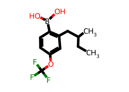 CCC(C)Cc1cc(OC(F)(F)F)ccc1B(O)O